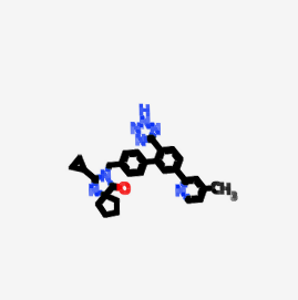 Cc1ccnc(-c2ccc(-c3nn[nH]n3)c(-c3ccc(CN4C(=O)C5(CCCC5)N=C4C4CC4)cc3)c2)c1